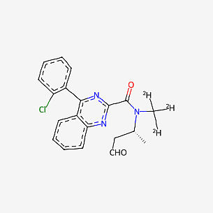 [2H]C([2H])([2H])N(C(=O)c1nc(-c2ccccc2Cl)c2ccccc2n1)[C@H](C)CC=O